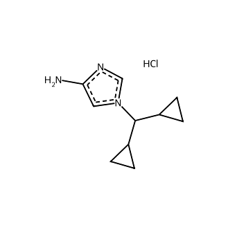 Cl.Nc1cn(C(C2CC2)C2CC2)cn1